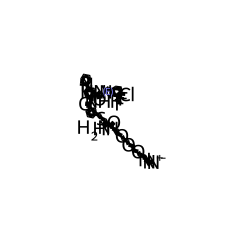 [N-]=[N+]=NCCOCCOCCOCCNC(=O)C(N)CSCc1cccc(C(=O)Nc2ccc(N3CCCCC3)cc2C(=O)N/N=C/c2ccc(Cl)c(C(F)(F)F)c2)c1